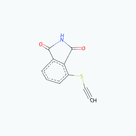 C#CSc1cccc2c1C(=O)NC2=O